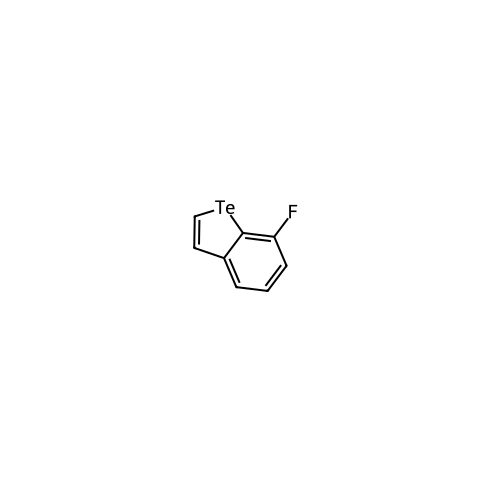 Fc1cccc2cc[te]c12